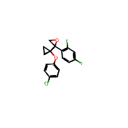 Fc1ccc(C2(C3(Oc4ccc(Cl)cc4)CC3)CO2)c(F)c1